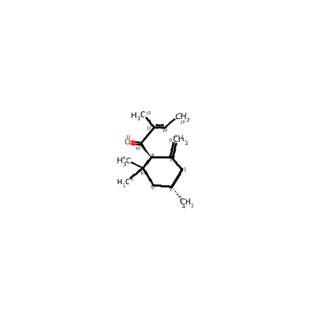 C=C1C[C@H](C)CC(C)(C)[C@H]1C(=O)C(C)=CC